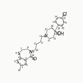 Cc1cc2c(s1)SCCN(CCCCN1CCC(O)(c3ccc(Cl)cc3)CC1)C2=O